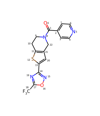 O=C(c1ccncc1)N1CCc2sc(-c3noc(C(F)(F)F)n3)cc2C1